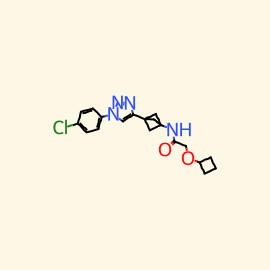 O=C(COC1CCC1)NC12CC(c3cn(-c4ccc(Cl)cc4)nn3)(C1)C2